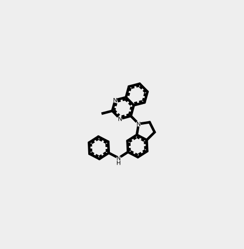 Cc1nc(N2CCc3ccc(Nc4ccccc4)cc32)c2ccccc2n1